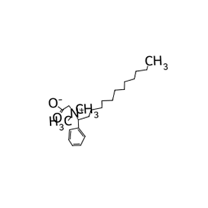 CCCCCCCCCCCCC(c1ccccc1)[N+](C)(C)CC(=O)[O-]